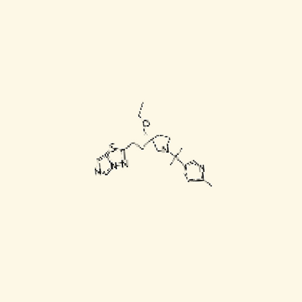 CCOC[C@]1(CCc2nn3cncc3s2)CCN(C(C)(C)c2ccc(C)nc2)C1